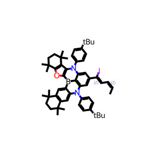 C/C=C\C=C(/I)c1cc2c3c(c1)N(c1ccc(C(C)(C)C)cc1)c1c(oc4c1C(C)(C)CCC4(C)C)B3c1cc3c(cc1N2c1ccc(C(C)(C)C)cc1)C(C)(C)CCC3(C)C